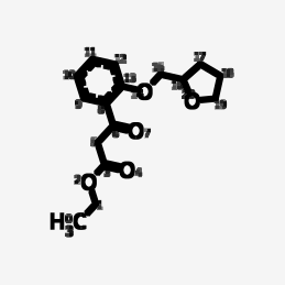 CCOC(=O)CC(=O)c1ccccc1OCC1CCCO1